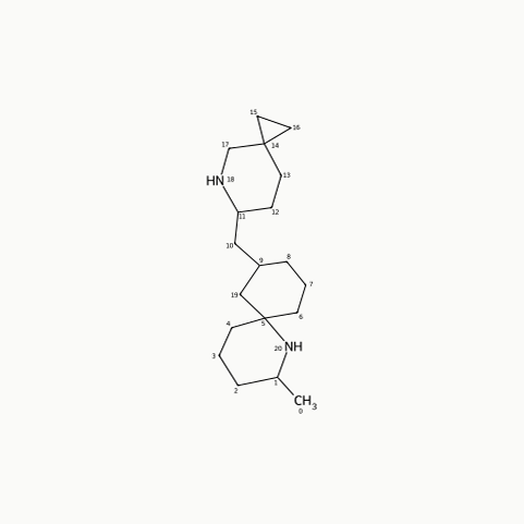 CC1CCCC2(CCCC(CC3CCC4(CC4)CN3)C2)N1